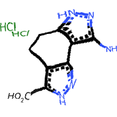 Cl.Cl.Nc1n[nH]c2c1-c1n[nH]c(C(=O)O)c1CC2